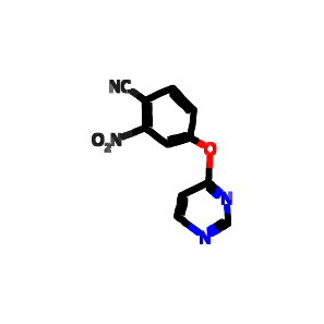 N#Cc1ccc(Oc2ccncn2)cc1[N+](=O)[O-]